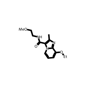 CCOc1cccn2c(C(=O)NCCOC)c(C)nc12